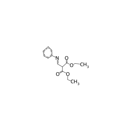 CCOC(=O)C(C=Nc1ccccc1)C(=O)OCC